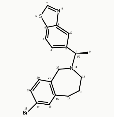 C[C@H](c1ccc2scnc2c1)N1CCCc2cc(Br)ccc2C1